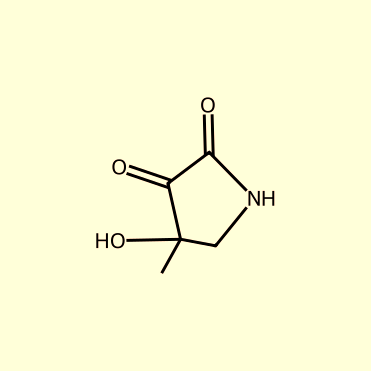 CC1(O)CNC(=O)C1=O